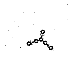 c1ccc2oc(-c3ccc(-c4cc(-c5ccc(-c6nc7ccccc7s6)cc5)cc(-c5nc6ccccc6s5)c4)cc3)nc2c1